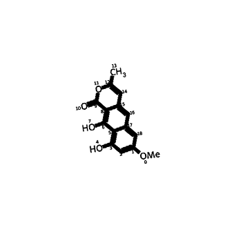 COc1cc(O)c2c(O)c3c(=O)oc(C)cc3cc2c1